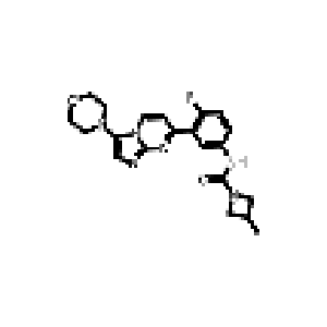 CC1CN(C(=O)Nc2ccc(F)c(-c3ccn4c(N5CCOCC5)cnc4n3)c2)C1